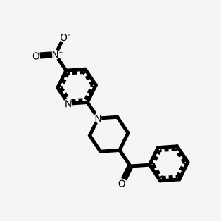 O=C(c1ccccc1)C1CCN(c2ccc([N+](=O)[O-])cn2)CC1